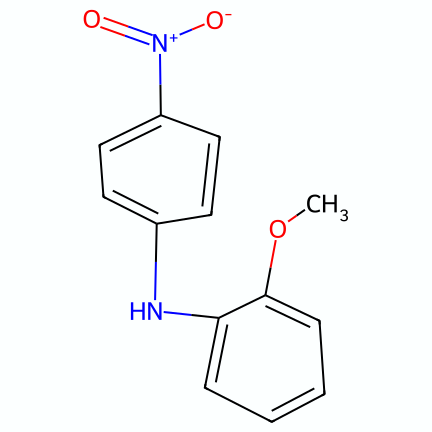 COc1ccccc1Nc1ccc([N+](=O)[O-])cc1